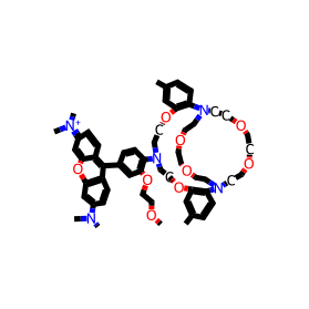 COCCOc1cc(-c2c3ccc(=[N+](C)C)cc-3oc3cc(N(C)C)ccc23)ccc1N1CCOc2cc(C)ccc2N2CCOCCOCCN(CCOCCOCC2)c2ccc(C)cc2OCC1